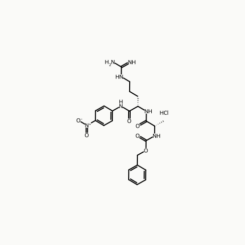 C[C@H](NC(=O)OCc1ccccc1)C(=O)N[C@@H](CCCNC(=N)N)C(=O)Nc1ccc([N+](=O)[O-])cc1.Cl